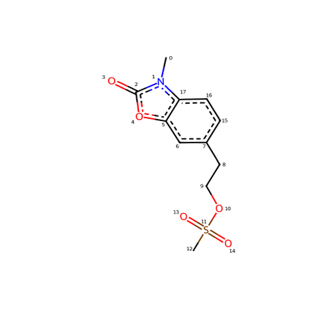 Cn1c(=O)oc2cc(CCOS(C)(=O)=O)ccc21